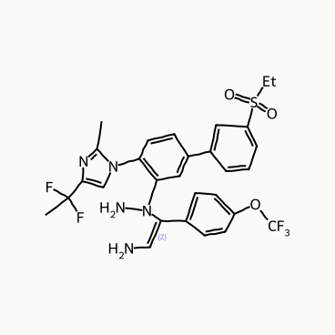 CCS(=O)(=O)c1cccc(-c2ccc(-n3cc(C(C)(F)F)nc3C)c(N(N)/C(=C\N)c3ccc(OC(F)(F)F)cc3)c2)c1